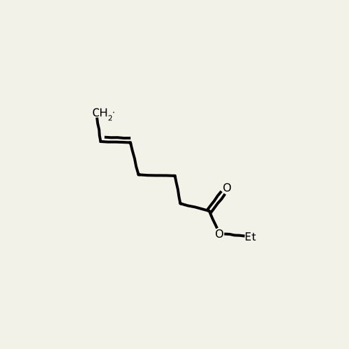 [CH2]C=CCCCC(=O)OCC